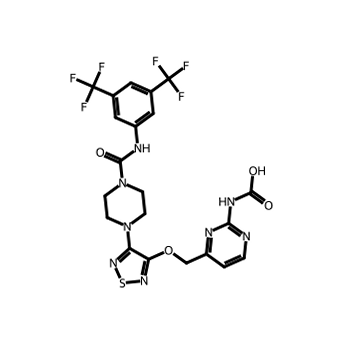 O=C(O)Nc1nccc(COc2nsnc2N2CCN(C(=O)Nc3cc(C(F)(F)F)cc(C(F)(F)F)c3)CC2)n1